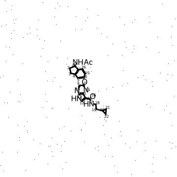 CC(=O)N[C@@H]1CCc2cc(Oc3cnc4[nH]cc(C(=O)NCCC5CC5)c4n3)ccc21